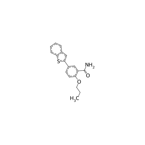 CCCOc1ccc(-c2cc3ccccc3s2)cc1C(N)=O